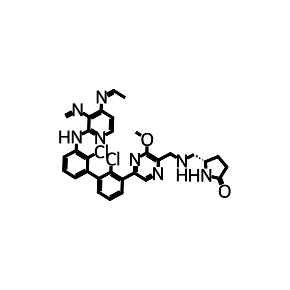 C=Nc1c(/N=C\C)ccnc1Nc1cccc(-c2cccc(-c3cnc(CNC[C@@H]4CCC(=O)N4)c(OC)n3)c2Cl)c1Cl